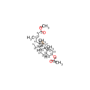 COC(=O)CC[C@@H](C)[C@H]1CC[C@H]2[C@@H]3CC[C@@H]4C[C@H](OC(C)=O)CC[C@]4(C)C3CS[C@]12C